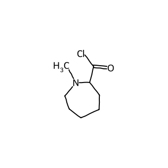 CN1CCCCCC1C(=O)Cl